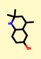 CC1CC(C)(C)NC2CCC(O)CC12